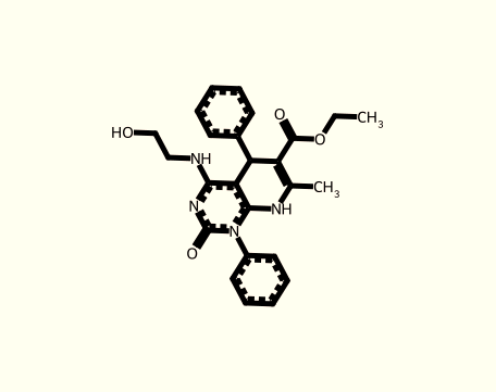 CCOC(=O)C1=C(C)Nc2c(c(NCCO)nc(=O)n2-c2ccccc2)C1c1ccccc1